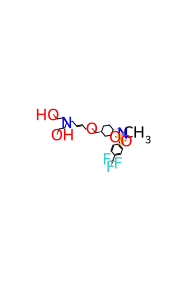 CN(C[C@H]1CC[C@H](COC/C=C/CN(CCO)CCO)CC1)S(=O)(=O)c1ccc(C(F)(F)F)cc1